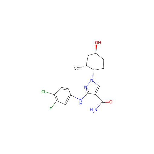 N#C[C@@H]1C[C@@H](O)CC[C@@H]1n1cc(C(N)=O)c(Nc2ccc(Cl)c(F)c2)n1